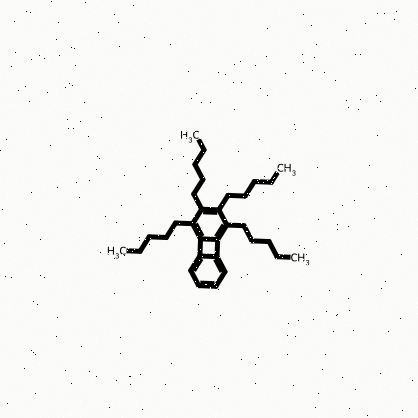 CCCCCc1c(CCCCC)c(CCCCC)c2c(c1CCCCC)-c1ccccc1-2